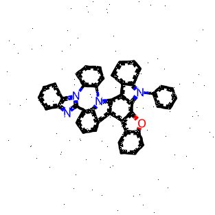 Cc1nc2ccccc2n1-c1ccccc1-n1c2ccccc2c2c3c4ccccc4oc3c3c(c4ccccc4n3-c3ccccc3)c21